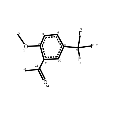 COc1ccc(C(F)(F)F)cc1C(C)=O